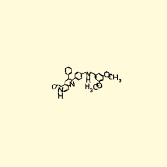 COc1cc(CNCc2ccc(-c3nc4c(cc3-c3ccccc3)C(C=O)NC=C4)cc2)cc(OC)c1